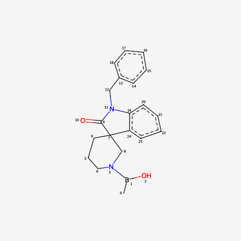 CB(O)N1CCCC2(C1)C(=O)N(Cc1ccccc1)c1ccccc12